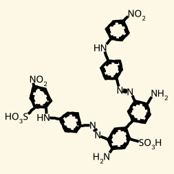 Nc1ccc(-c2cc(N=Nc3ccc(Nc4ccc([N+](=O)[O-])cc4S(=O)(=O)O)cc3)c(N)cc2S(=O)(=O)O)cc1N=Nc1ccc(Nc2ccc([N+](=O)[O-])cc2)cc1